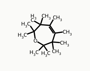 CC1=C(C)C(C)(C)C(C)(C)OC(C)(C)C1(C)C